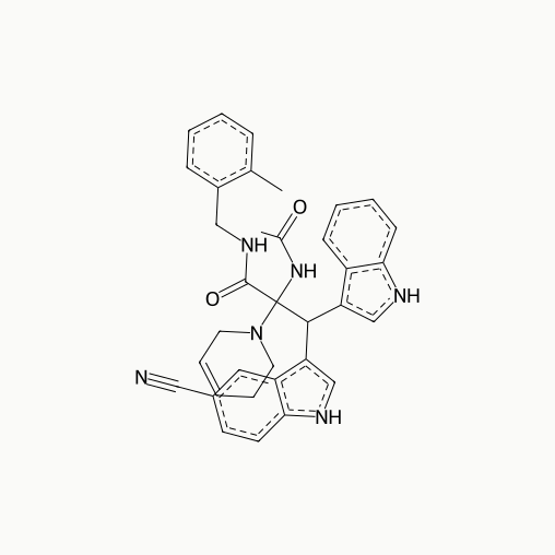 CC(=O)NC(C(=O)NCc1ccccc1C)(C(c1c[nH]c2ccccc12)c1c[nH]c2ccc(C#N)cc12)N1CC=CCC1